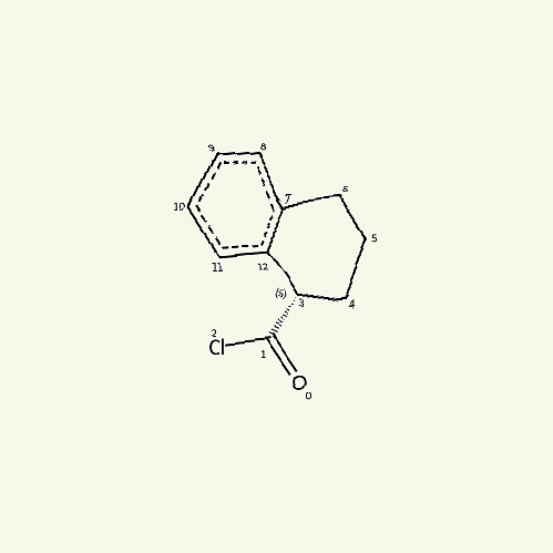 O=C(Cl)[C@H]1CCCc2ccccc21